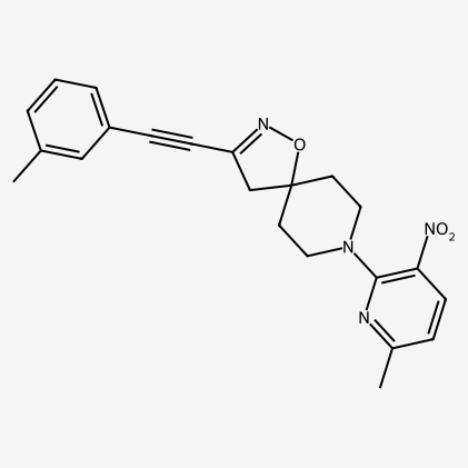 Cc1cccc(C#CC2=NOC3(CCN(c4nc(C)ccc4[N+](=O)[O-])CC3)C2)c1